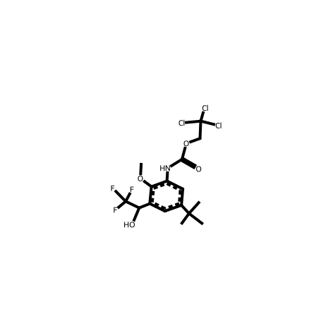 COc1c(NC(=O)OCC(Cl)(Cl)Cl)cc(C(C)(C)C)cc1C(O)C(F)(F)F